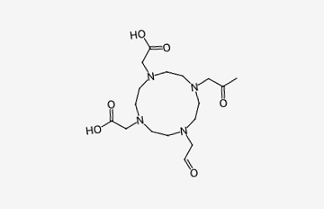 CC(=O)CN1CCN(CC=O)CCN(CC(=O)O)CCN(CC(=O)O)CC1